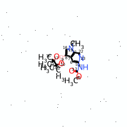 COC(=O)Nc1cc2c(B3OC(C)(C)C(C)(C)O3)cn(C)c2cn1